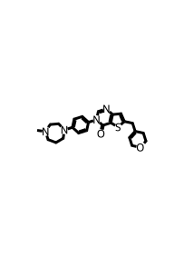 CN1CCCN(c2ccc(-n3cnc4cc(CC5=CCOCC5)sc4c3=O)cc2)CC1